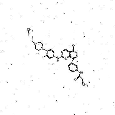 C=CC(=O)Nc1cccc(-n2ccc(=O)c3cnc(Nc4ccc(N5CCN(CCOC)CC5)c(F)c4)nc32)c1